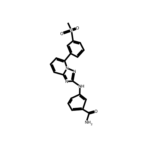 CS(=O)(=O)c1cccc(-c2cccc3nc(Nc4cccc(C(N)=O)c4)nn23)c1